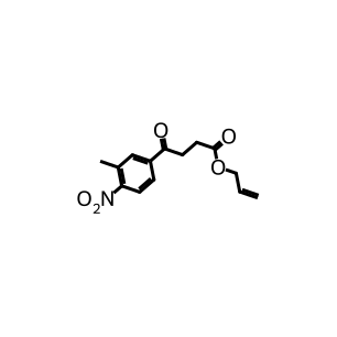 C=CCOC(=O)CCC(=O)c1ccc([N+](=O)[O-])c(C)c1